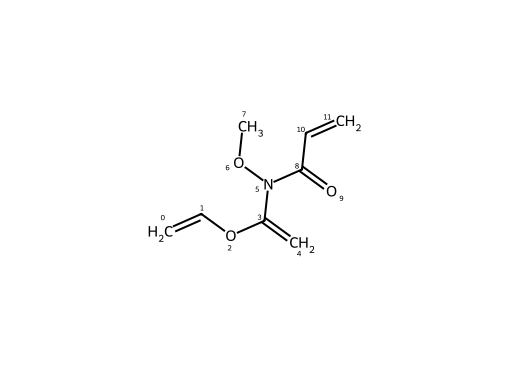 C=COC(=C)N(OC)C(=O)C=C